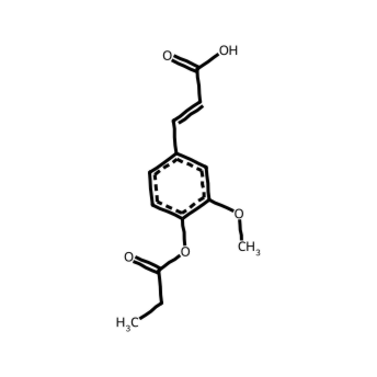 CCC(=O)Oc1ccc(C=CC(=O)O)cc1OC